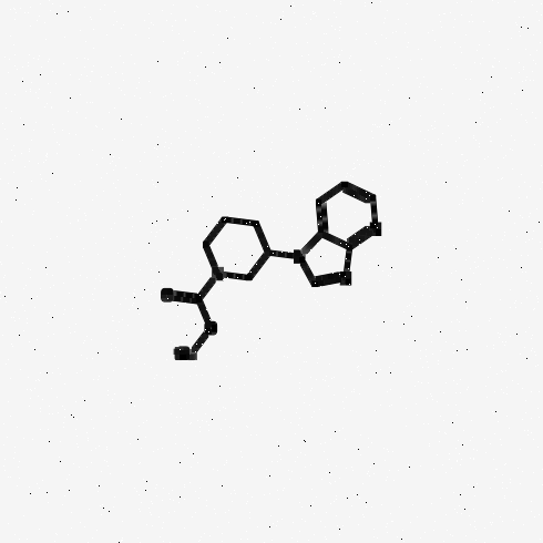 CC(C)(C)OC(=O)N1CCCC(n2cnc3ncccc32)C1